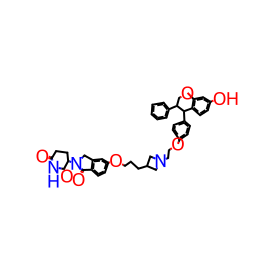 O=C1CCC(N2Cc3cc(OCCCC4CN(CCOc5ccc(C6c7ccc(O)cc7OCC6c6ccccc6)cc5)C4)ccc3C2=O)C(=O)N1